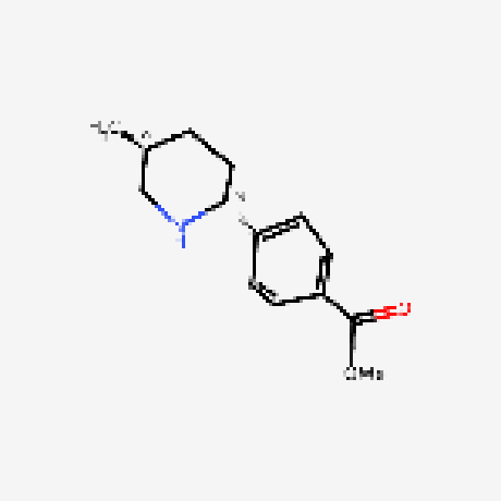 COC(=O)c1ccc([C@H]2CC[C@H](C)CN2)cc1